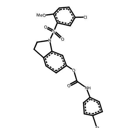 COc1ccc(Cl)cc1S(=O)(=O)N1CCc2ccc(OC(=O)Nc3ccc(Cl)cc3)cc21